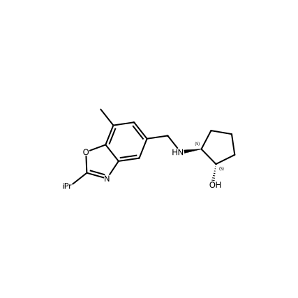 Cc1cc(CN[C@H]2CCC[C@@H]2O)cc2nc(C(C)C)oc12